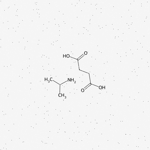 CC(C)N.O=C(O)CCC(=O)O